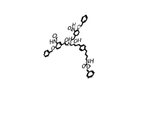 O=CNc1cc(C(O)CN(CCCCc2ccc(CCCCNC(=O)OCc3ccccc3)cc2)CC(O)c2ccc(OCc3ccccc3)c(NC=O)c2)ccc1OCc1ccccc1